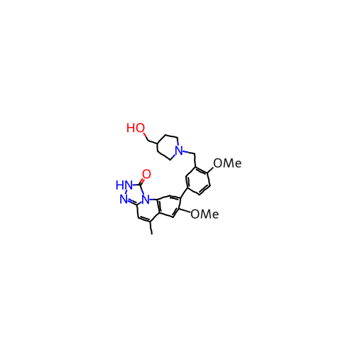 COc1ccc(-c2cc3c(cc2OC)c(C)cc2n[nH]c(=O)n23)cc1CN1CCC(CO)CC1